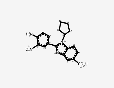 Nc1ccc(-c2nc3cc(C(=O)O)ccc3n2C2CCCC2)cc1[N+](=O)[O-]